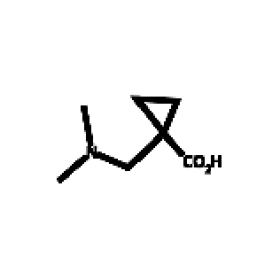 CN(C)CC1(C(=O)O)CC1